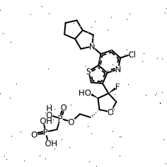 O=P(O)(O)CP(=O)(O)OCC[C@H]1OC[C@@](F)(c2csc3c(N4CC5CCCC5C4)cc(Cl)nc23)[C@@H]1O